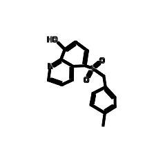 Cc1ccc(CS(=O)(=O)c2ccc(O)c3ncccc23)cc1